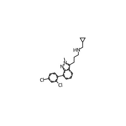 Cn1nc2c(-c3ccc(Cl)cc3Cl)cccc2c1CCCNCC1CC1